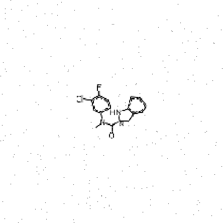 CN(C(=O)[C@@H]1Cc2ccccc2N1)c1ccc(F)c(Cl)c1